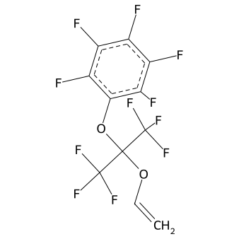 C=COC(Oc1c(F)c(F)c(F)c(F)c1F)(C(F)(F)F)C(F)(F)F